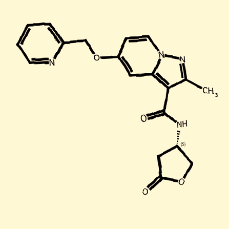 Cc1nn2ccc(OCc3ccccn3)cc2c1C(=O)N[C@@H]1COC(=O)C1